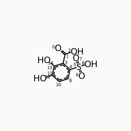 O=C(O)c1c(S(=O)(=O)O)[c]cc(O)c1O